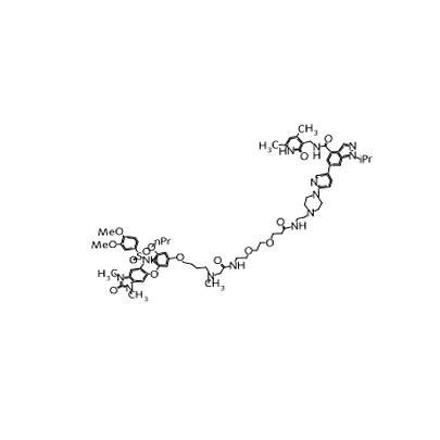 CCCOc1cc(OCCCCN(C)CC(=O)NCCOCCOCCC(=O)NCCN2CCN(c3ccc(-c4cc(C(=O)NCc5c(C)cc(C)[nH]c5=O)c5cnn(C(C)C)c5c4)cn3)CC2)cc(Oc2cc3c(cc2NS(=O)(=O)c2ccc(OC)c(OC)c2)n(C)c(=O)n3C)c1